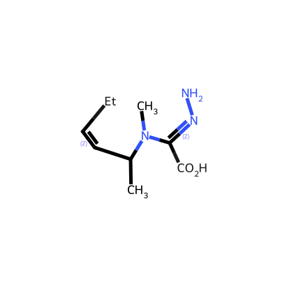 CC/C=C\C(C)N(C)/C(=N\N)C(=O)O